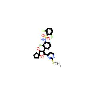 CSc1nccc(C2=C(c3cccc(NS(=O)(=O)c4c(F)cccc4F)c3F)C(=O)C3(CCCC3)O2)n1